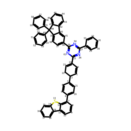 C1=CC(c2ccc(-c3cccc4c3sc3ccccc34)cc2)CC=C1c1nc(-c2ccccc2)nc(-c2ccc3c(c2)-c2ccccc2C3(c2ccccc2)c2ccccc2)n1